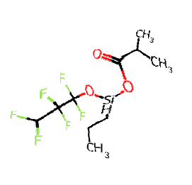 CCC[SiH](OC(=O)C(C)C)OC(F)(F)C(F)(F)C(F)F